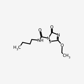 CCCCNC(=O)n1sc(OCC)nc1=O